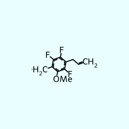 [CH2]c1c(F)c(F)c(CC=C)c(F)c1OC